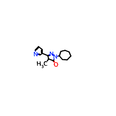 CC1C(=O)N(C2CCCCCC2)N=C1c1cccnc1